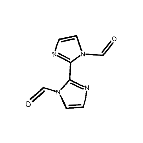 O=Cn1ccnc1-c1nccn1C=O